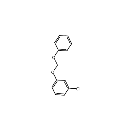 Clc1cccc(OCOc2ccccc2)c1